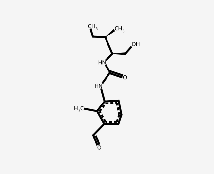 CC[C@@H](C)[C@@H](CO)NC(=O)Nc1cccc(C=O)c1C